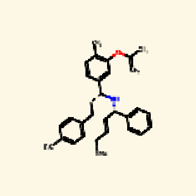 C=C(C)Oc1cc([C@@H](CCc2ccc(C(F)(F)F)cc2)N[C@@H](/C=C/CNC)c2ccccc2)ccc1C